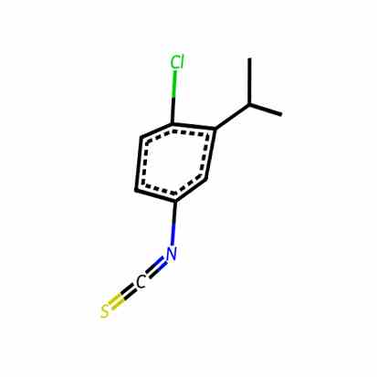 CC(C)c1cc(N=C=S)ccc1Cl